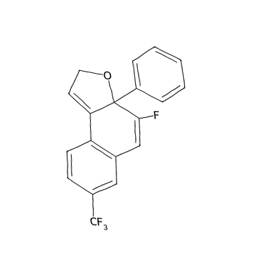 FC1=Cc2cc(C(F)(F)F)ccc2C2=CCOC12c1ccccc1